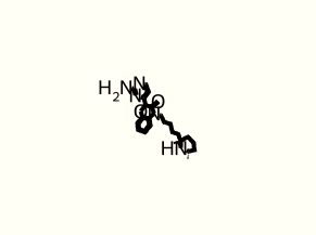 C[C@H]1CCC[C@@](C)(CCCCCN2C(=O)C(c3ccnc(N)n3)Oc3ccccc32)N1